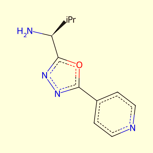 CC(C)[C@H](N)c1nnc(-c2ccncc2)o1